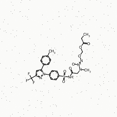 CCC(=O)OCO/N=[N+](\[O-])N(C)CC(=O)NS(=O)(=O)c1ccc(-n2nc(C(F)(F)F)cc2-c2ccc(C)cc2)cc1